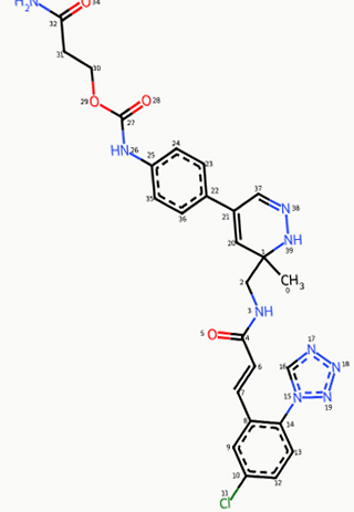 CC1(CNC(=O)/C=C/c2cc(Cl)ccc2-n2cnnn2)C=C(c2ccc(NC(=O)OCCC(N)=O)cc2)C=NN1